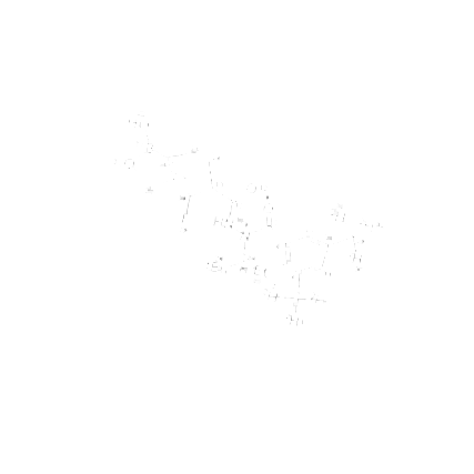 [2H]C([2H])([2H])c1cc(C(=O)N(NC(=O)c2ccc3c(c2F)COB3O)[C@H](CC)C(C)(C)C)cc(C([2H])([2H])[2H])c1